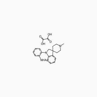 CC(=O)Nc1ccccc1N1CC2(CCN(C)CC2)c2ccccc21.O=C(O)C(=O)O